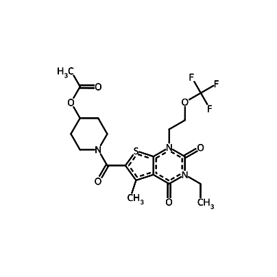 CCn1c(=O)c2c(C)c(C(=O)N3CCC(OC(C)=O)CC3)sc2n(CCOC(F)(F)F)c1=O